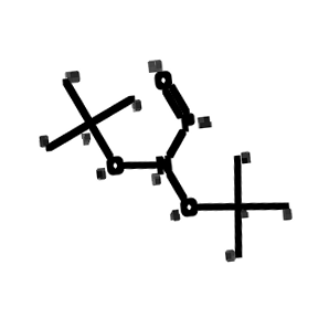 CC(C)(C)ON(OC(C)(C)C)P=O